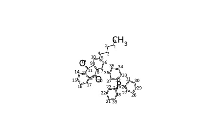 CCCCCc1ccc2c(c1)C(=O)c1ccccc1C2=O.c1ccc(P(c2ccccc2)c2ccccc2)cc1